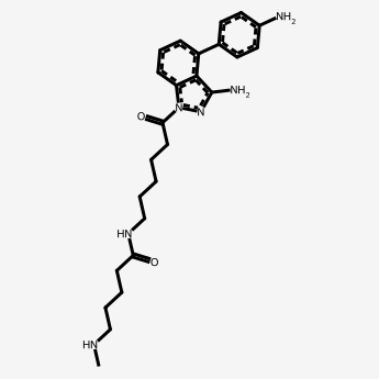 CNCCCCC(=O)NCCCCCC(=O)n1nc(N)c2c(-c3ccc(N)cc3)cccc21